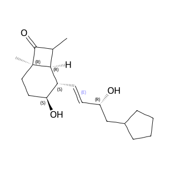 CC1C(=O)[C@]2(C)CC[C@H](O)[C@@H](/C=C/[C@H](O)CC3CCCC3)[C@H]12